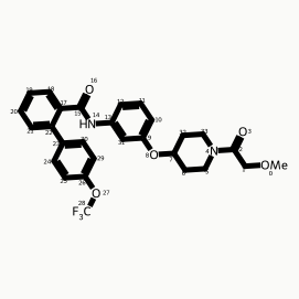 COCC(=O)N1CCC(Oc2cccc(NC(=O)c3ccccc3-c3ccc(OC(F)(F)F)cc3)c2)CC1